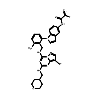 C=C(F)C(=O)Nc1ccc2c(ccn2-c2cccc(C)c2CNc2nc(NCC3CCNCC3)nc3c(C(C)C)cnn23)c1